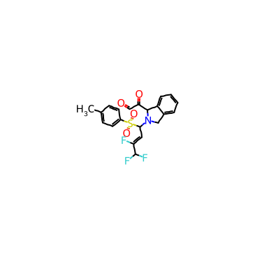 Cc1ccc(S(=O)(=O)C(C=C(F)C(F)F)N2Cc3ccccc3C2C(=O)C=O)cc1